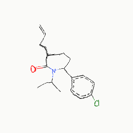 C=CCC1CCC(c2ccc(Cl)cc2)N(C(C)C)C1=O